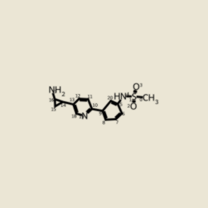 CS(=O)(=O)Nc1cccc(-c2ccc(C3CC3N)cn2)c1